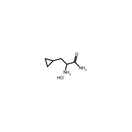 Cl.NC(=O)C(N)CC1CC1